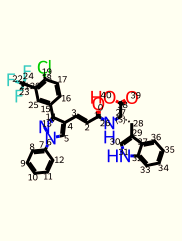 O=C(C=Cc1cn(-c2ccccc2)nc1-c1ccc(Cl)c(C(F)(F)F)c1)N[C@@H](Cc1c[nH]c2ccccc12)C(=O)O